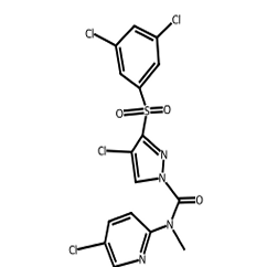 CN(C(=O)n1cc(Cl)c(S(=O)(=O)c2cc(Cl)cc(Cl)c2)n1)c1ccc(Cl)cn1